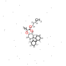 [3H]C(OC1CCC(c2ccccc2)(c2ccccc2)CC1)C(=O)OCCCC